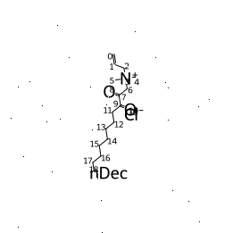 C=CC[N+](C)(C)CC(=O)C(=O)CCCCCCCCCCCCCCCCC.[Cl-]